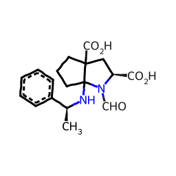 C[C@H](NC12CCCC1(C(=O)O)C[C@@H](C(=O)O)N2C=O)c1ccccc1